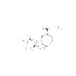 COC(=O)C1CCCCC(NC(=N)NC(=O)OC(C)(C)C)CC1